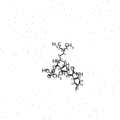 CCN(CC)CCC1Cc2[nH]c(C=C3C(=O)Nc4ccc(F)cc43)c(C)c2C(=O)N1.CS(=O)(=O)O